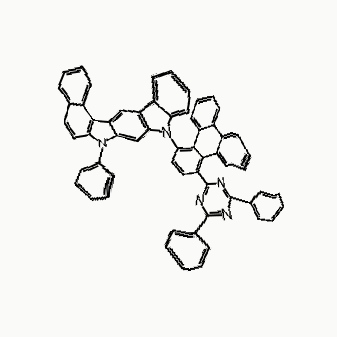 c1ccc(-c2nc(-c3ccccc3)nc(-c3ccc(-n4c5ccccc5c5cc6c7c8ccccc8ccc7n(-c7ccccc7)c6cc54)c4c5ccccc5c5ccccc5c34)n2)cc1